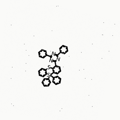 c1ccc(-c2nc(-c3ccccc3)nc(-c3cccc4c3Sc3ccccc3[Si]4(c3ccccc3)c3ccccc3)n2)cc1